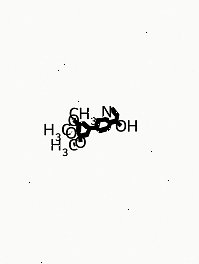 COc1cc(-c2ccc3c(O)ccnc3c2)cc(OC)c1OC